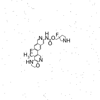 Cc1c(-c2cc3cc(NC(=O)OCC4(F)CCNC4)ncc3cc2F)cnc2c1NCCO2